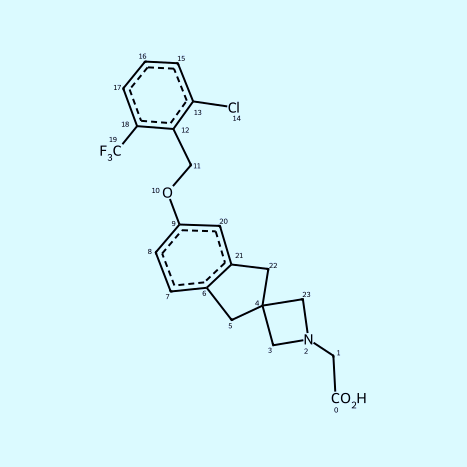 O=C(O)CN1CC2(Cc3ccc(OCc4c(Cl)cccc4C(F)(F)F)cc3C2)C1